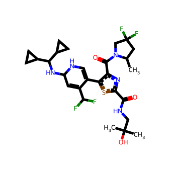 CC1CC(F)(F)CN1C(=O)c1nc(C(=O)NCC(C)(C)O)sc1C1=CNC(NC(C2CC2)C2CC2)C=C1C(F)F